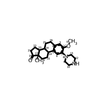 COc1cc2c(cc1N1CCNCC1)C1CC[C@]3(C)C(=O)CCC3C1CC2